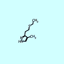 CCSCCc1n[nH]cc1C